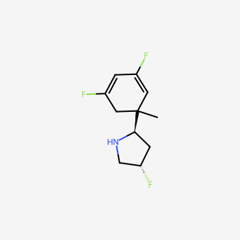 CC1([C@H]2C[C@H](F)CN2)C=C(F)C=C(F)C1